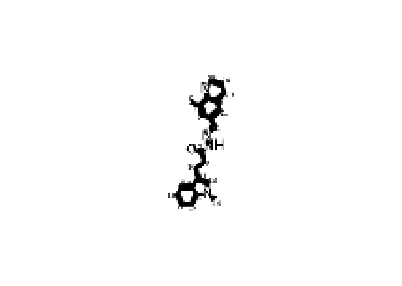 Cc1cc(/C=N/NC(=O)CCc2cn(C)c3ccccc23)cc2cccnc12